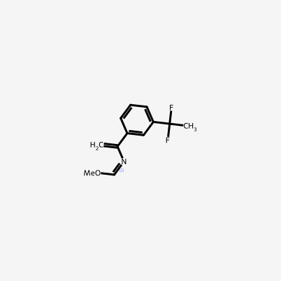 C=C(/N=C\OC)c1cccc(C(C)(F)F)c1